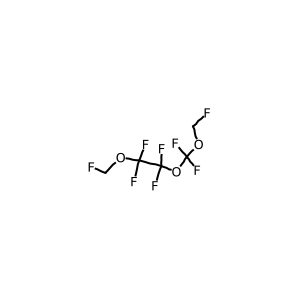 FCOC(F)(F)OC(F)(F)C(F)(F)OCF